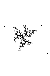 C=CCc1ccc(OP(Oc2ccc(CC=C)cc2CC=C)Oc2ccc(CC=C)cc2CC=C)c(CC=C)c1